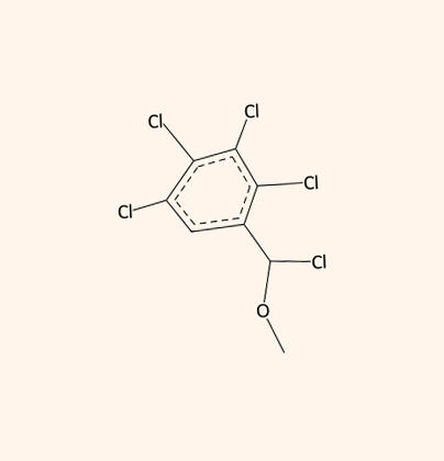 COC(Cl)c1cc(Cl)c(Cl)c(Cl)c1Cl